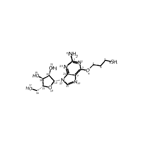 Nc1nc(OCCCS)c2ncn([C@@H]3O[C@H](CO)[C@@H](O)[C@H]3O)c2n1